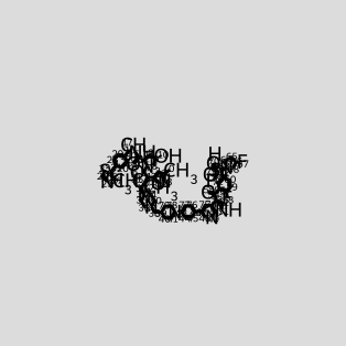 Cc1cc(C(C(=O)N2C[C@H](O)C[C@H]2C(=O)N[C@@H](C)c2ccc(-c3scnc3C)cc2)C(C)(C)CN2CCN(CC3CCN(c4ccc(-c5cnc6[nH]cc(C(=O)c7c(F)ccc(N(N8CC[C@@H](F)C8)[SH](=O)=O)c7F)c6c5)cc4)CC3)CC2)on1